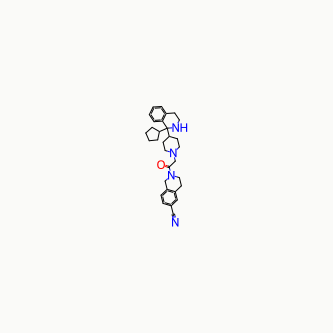 N#Cc1ccc2c(c1)CCN(C(=O)CN1CCC(C3(C4CCCC4)NCCc4ccccc43)CC1)C2